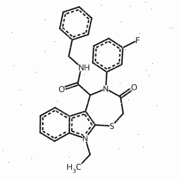 CCn1c2c(c3ccccc31)C(C(=O)NCc1ccccc1)N(c1cccc(F)c1)C(=O)CS2